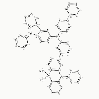 CC1(C)c2ccccc2N(c2ccccc2)c2cc(-c3cccc(N(c4ccc(-c5ccccc5)cc4)c4ccc5c(c4)c4ccccc4n5-c4ccccc4)c3)ccc21